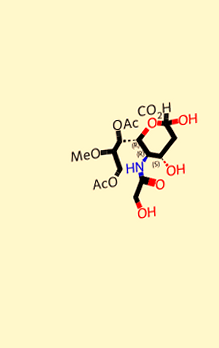 COC(COC(C)=O)C(OC(C)=O)[C@@H]1OC(O)(C(=O)O)C[C@H](O)[C@H]1NC(=O)CO